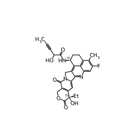 CC#CC(O)C(=O)N[C@H]1CCc2c(C)c(F)cc3nc4c(c1c23)Cn1c-4cc2c(c1=O)COC(=O)[C@]2(O)CC